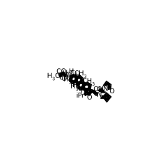 CC(C)C1=C2C(CC[C@]3(C)[C@@H]2CC[C@@H]2[C@@]4(C)CC[C@H](OC(=O)CC(C)(C)C(=O)O)C(C)(C)[C@H]4CC[C@]23C)[C@H]([C@@H](O)CN(CC2CCC2)C(=O)CN2CCCC2=O)C1=O